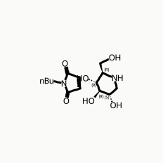 CCCCN1C(=O)C=CC1=O.OC[C@H]1NC[C@H](O)[C@@H](O)[C@@H]1O